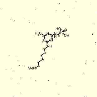 CNCCCCCCNc1nc(C)nc(NCP(=O)(O)O)n1